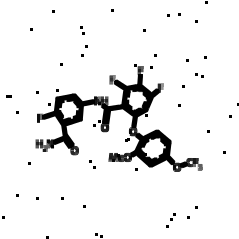 COc1cc(OC(F)(F)F)ccc1Oc1cc(F)c(F)c(F)c1C(=O)Nc1ccc(F)c(C(N)=O)c1